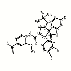 COc1cc(C(=O)O)ccc1NC(=O)[C@@H]1N[C@@H](CC(C)(C)C)[C@@]2(C(=O)Nc3cc(Cl)ccc32)[C@@H]1c1ccc(F)c(Cl)c1